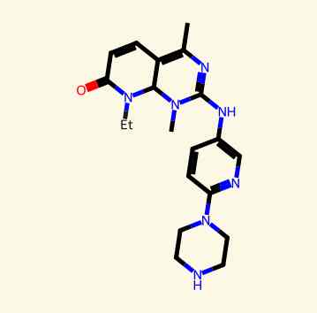 CCN1C(=O)C=CC2=C(C)N=C(Nc3ccc(N4CCNCC4)nc3)N(C)C21